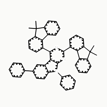 CC1(C)c2ccccc2-c2c(-c3nc(-c4cccc5c4-c4ccccc4C5(C)C)c4c5cc(-c6ccccc6)ccc5n(-c5ccccc5)c4n3)cccc21